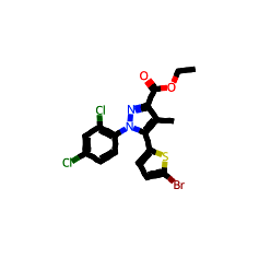 CCOC(=O)c1nn(-c2ccc(Cl)cc2Cl)c(-c2ccc(Br)s2)c1C